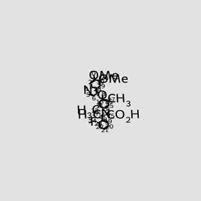 COc1cc2nccc(Oc3cc(C)c(N(C(=O)O)C(C)c4ccccc4F)cc3C)c2cc1OC